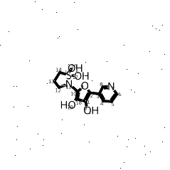 Oc1c(-c2cccnc2)oc(N2CCCS2(O)O)c1O